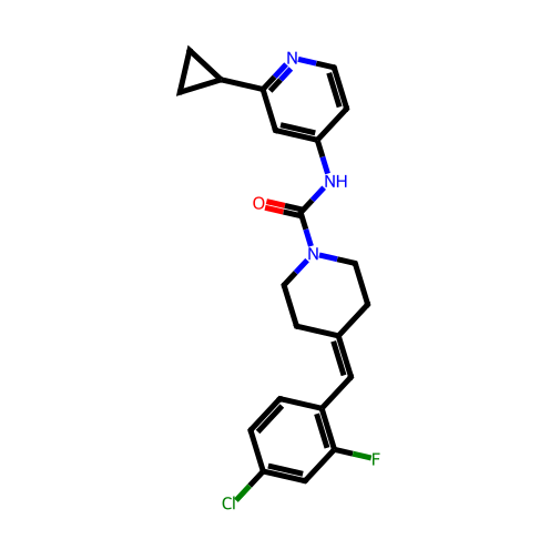 O=C(Nc1ccnc(C2CC2)c1)N1CCC(=Cc2ccc(Cl)cc2F)CC1